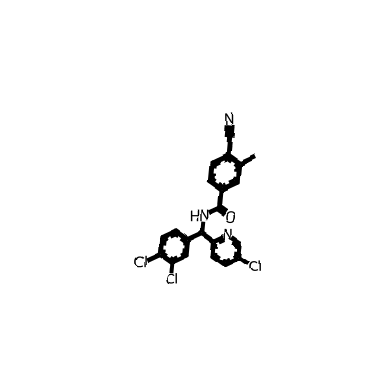 Cc1cc(C(=O)NC(c2ccc(Cl)c(Cl)c2)c2ccc(Cl)cn2)ccc1C#N